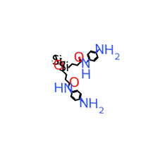 C[Si](C)(C)O[Si](C)(CCCC(=O)Nc1ccc(N)cc1)CCCC(=O)Nc1ccc(N)cc1